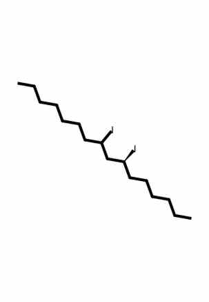 CCCCCCCC(I)C[C@@H](I)CCCCCC